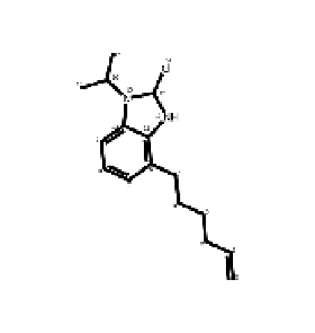 C=CCCCCc1cccc2c1NC(Cl)N2C(C)C